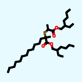 CCCCCCCCCCCCC(C)(SC(C)C(=O)OCC(CC)CCCC)C(=O)OCC(CC)CCCC